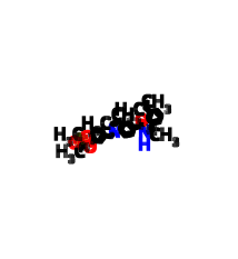 Cc1c(C)n(Cc2cccc(O[C@@H](C)S(C)(=O)=O)c2)c2ccc(C(=O)N[C@@H](C)c3cccc(C(C)C)c3)cc12